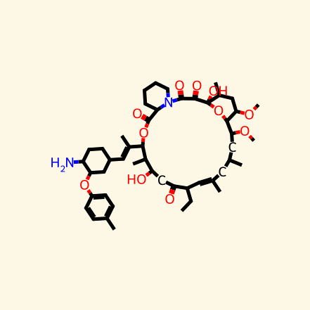 CCC1/C=C(\C)CC(C)CC(OC)C2OC(O)(C(=O)C(=O)N3CCCCC3C(=O)OC(C(C)=CC3CCC(N)C(Oc4ccc(C)cc4)C3)C(C)C(O)CC1=O)C(C)CC2OC